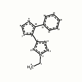 CCn1nnc(-c2s[c]nc2-c2ccccc2)n1